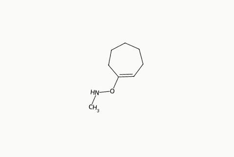 CNOC1=CCCCCC1